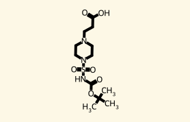 CC(C)(C)OC(=O)NS(=O)(=O)N1CCN(CCC(=O)O)CC1